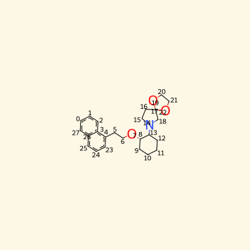 c1ccc2c(CCO[C@H]3CCCCC3N3CCC4(C3)OCCO4)cccc2c1